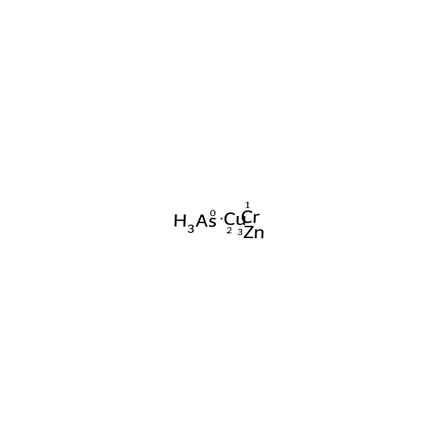 [AsH3].[Cr].[Cu].[Zn]